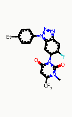 CCc1ccc(-n2nnc3cc(F)c(-n4c(=O)cc(C(F)(F)F)n(C)c4=O)cc32)cc1